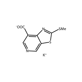 CSc1nc2c(C(=O)[O-])cncc2s1.[K+]